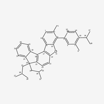 Cc1cc(-c2c(C)ccc3c2oc2ccc4c(c23)-c2ccccc2C4(CC(C)C)CC(C)C)ncc1C(C)C